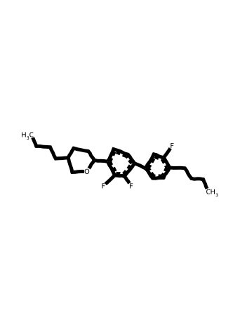 CCCCc1ccc(-c2ccc(C3CCC(CCCC)CO3)c(F)c2F)cc1F